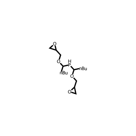 CCCCC(OCC1CO1)PC(CCCC)OCC1CO1